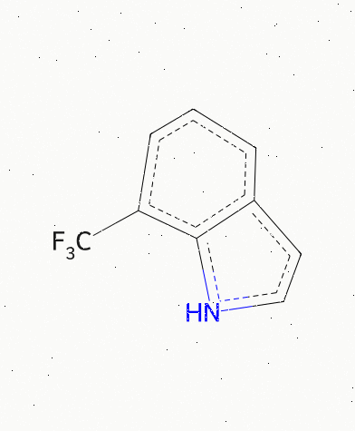 FC(F)(F)c1cccc2cc[nH]c12